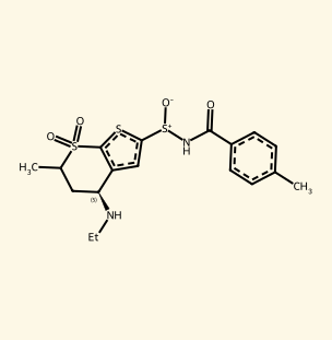 CCN[C@H]1CC(C)S(=O)(=O)c2sc([S+]([O-])NC(=O)c3ccc(C)cc3)cc21